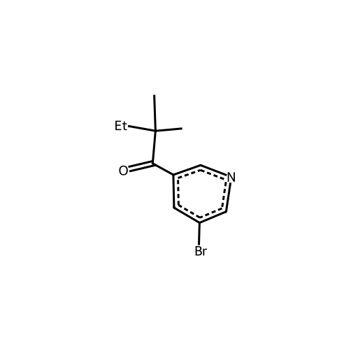 CCC(C)(C)C(=O)c1cncc(Br)c1